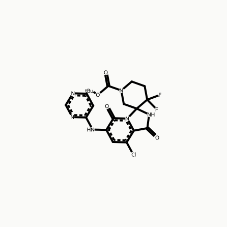 CC(C)(C)OC(=O)N1CCC(F)(F)C2(C1)NC(=O)c1c(Cl)cc(Nc3ccncn3)c(=O)n12